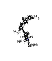 COCCN/C=C(/Nc1ncc(C#Cc2cc(C(=O)Nc3ccc(CN4CCN(C)CC4)c(F)c3)ccc2C)cn1)C(=N)OC